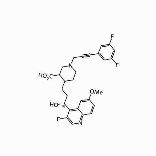 COc1ccc2ncc(F)c([C@H](O)CCC3CCN(CC#Cc4cc(F)cc(F)c4)CC3C(=O)O)c2c1